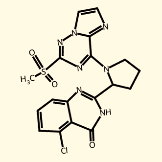 CS(=O)(=O)c1nc(N2CCCC2c2nc3cccc(Cl)c3c(=O)[nH]2)c2nccn2n1